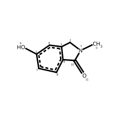 CN1Cc2cc(O)ccc2C1=O